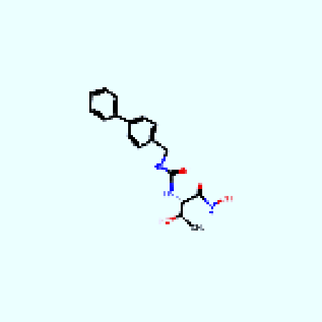 C[C@@H](O)[C@H](NC(=O)NCc1ccc(-c2ccccc2)cc1)C(=O)NO